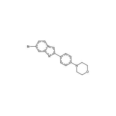 Brc1ccn2cc(-c3ccc(N4CCOCC4)cc3)nc2c1